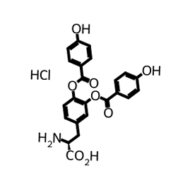 Cl.N[C@@H](Cc1ccc(OC(=O)c2ccc(O)cc2)c(OC(=O)c2ccc(O)cc2)c1)C(=O)O